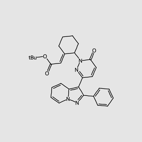 CC(C)(C)OC(=O)C=C1CCCCC1n1nc(-c2c(-c3ccccc3)nn3ccccc23)ccc1=O